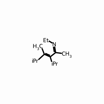 CC/N=C(C)\C(=C(/C)C(C)C)C(C)C